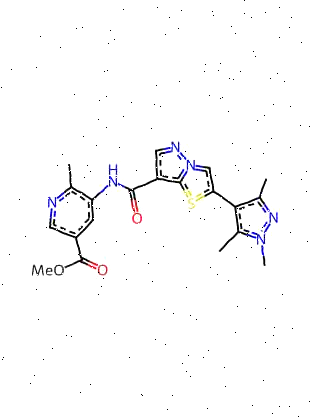 COC(=O)c1cnc(C)c(NC(=O)c2cnn3cc(-c4c(C)nn(C)c4C)sc23)c1